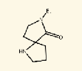 CCN1CCC2(CCCN2)C1=O